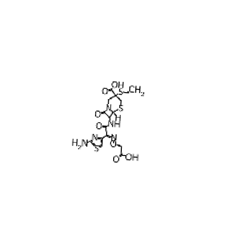 C=CSC1(C(=O)O)CS[C@@H]2C(NC(=O)C(=NOCC(=O)O)c3csc(N)n3)C(=O)N2C1